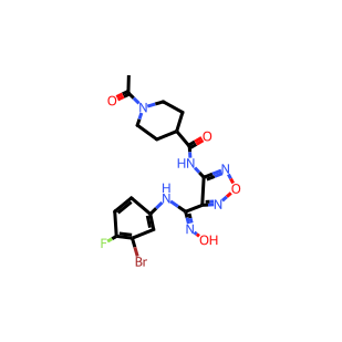 CC(=O)N1CCC(C(=O)Nc2nonc2/C(=N\O)Nc2ccc(F)c(Br)c2)CC1